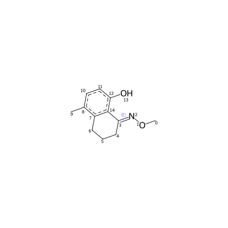 CO/N=C1\CCCc2c(C)ccc(O)c21